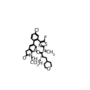 CN(C(=O)[C@@H](CC(=O)O)CC1CCOCC1)c1nc(-c2cc(Cl)ccc2-c2cnc3c(c2)CC(=O)N3C)c(F)s1